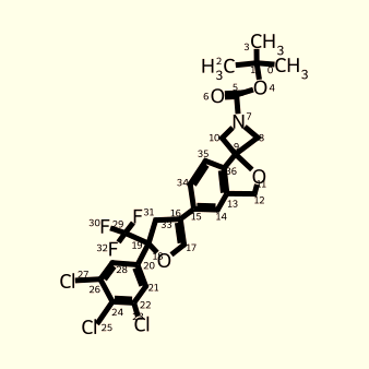 CC(C)(C)OC(=O)N1CC2(C1)OCc1cc(C3=COC(c4cc(Cl)c(Cl)c(Cl)c4)(C(F)(F)F)C3)ccc12